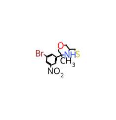 C[C@@]1(c2cc(Br)cc([N+](=O)[O-])c2)COCC(C=S)N1